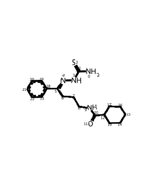 NC(=S)NN=C(CCCNC(=O)C1CCCCC1)c1ccccc1